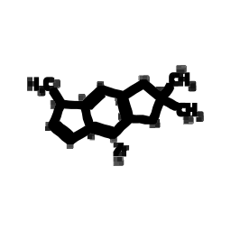 C[C]1C=Cc2cc3c(cc21)CC(C)(C)C3.[Zr]